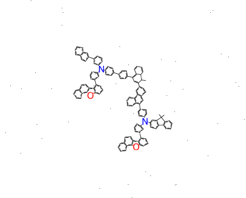 CC1C(c2ccc3cc(-c4ccc(N(c5cccc(-c6cccc7oc8c9ccccc9ccc8c67)c5)c5ccc6c(c5)C(C)(C)c5ccccc5-6)cc4)c4ccccc4c3c2)=CC(c2ccc(-c3ccc(N(c4cccc(-c5ccc6ccccc6c5)c4)c4cccc(-c5cccc6oc7c8ccccc8ccc7c56)c4)cc3)cc2)=C2C=CC=CC21